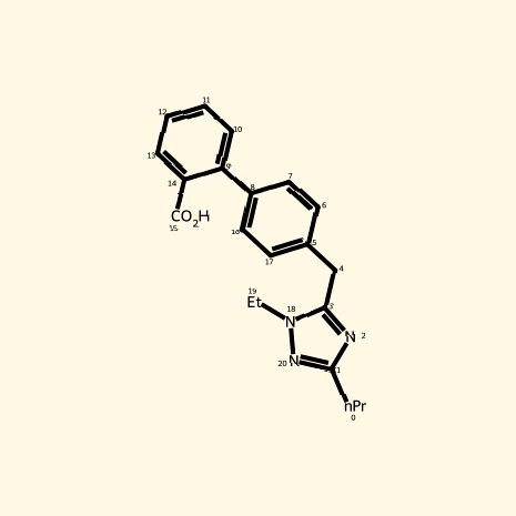 CCCc1nc(Cc2ccc(-c3ccccc3C(=O)O)cc2)n(CC)n1